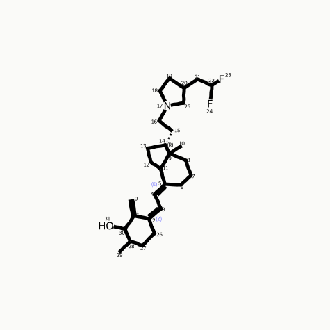 C=C1/C(=C\C=C2/CCCC3(C)C2CC[C@@H]3CCN2CCC(CC(F)F)C2)CCC(C)C1O